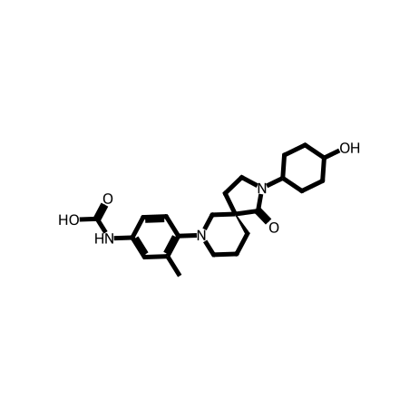 Cc1cc(NC(=O)O)ccc1N1CCC[C@]2(CCN(C3CCC(O)CC3)C2=O)C1